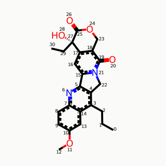 CCCc1c2c(nc3ccc(OC)cc13)-c1cc3c(c(=O)n1C2)COC(=O)[C@]3(O)CC